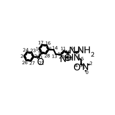 CN(C)C(=O)CNC(N)=Nc1cc(CCc2cccc(C(=O)c3ccccc3)c2)no1